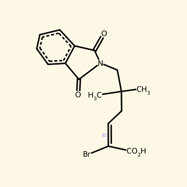 CC(C)(C/C=C(/Br)C(=O)O)CN1C(=O)c2ccccc2C1=O